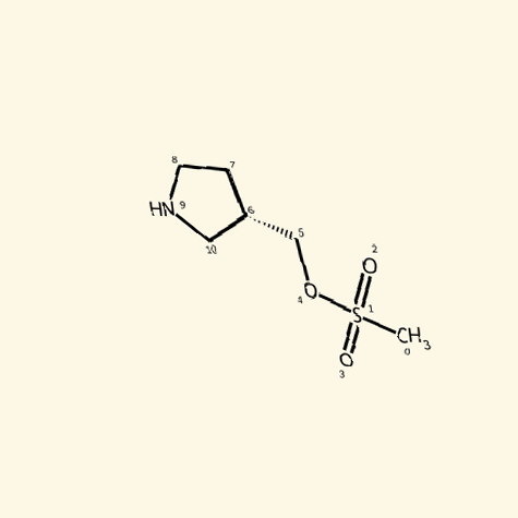 CS(=O)(=O)OC[C@H]1CCNC1